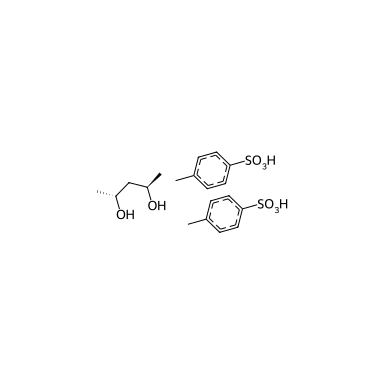 C[C@@H](O)C[C@@H](C)O.Cc1ccc(S(=O)(=O)O)cc1.Cc1ccc(S(=O)(=O)O)cc1